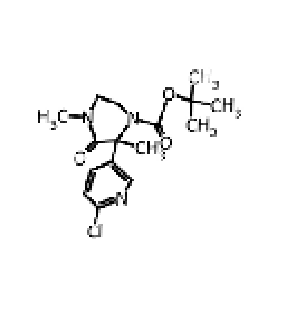 CN1CCN(C(=O)OC(C)(C)C)C(C)(c2ccc(Cl)nc2)C1=O